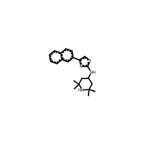 CC1(C)CC(Nc2nc(-c3ccc4ccccc4c3)cs2)CC(C)(C)N1